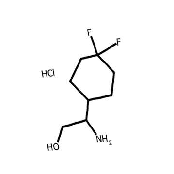 Cl.NC(CO)C1CCC(F)(F)CC1